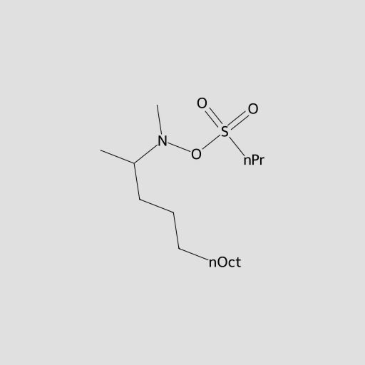 CCCCCCCCCCCC(C)N(C)OS(=O)(=O)CCC